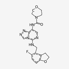 O=C(Nc1cnc(NCc2c(F)ccc3c2CCO3)n2cnnc12)N1CCOCC1